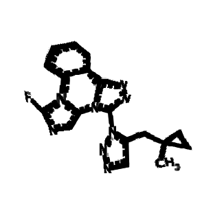 CC1(Cc2cnnn2-c2nnc3c4ccccc4n4c(F)ncc4n23)CC1